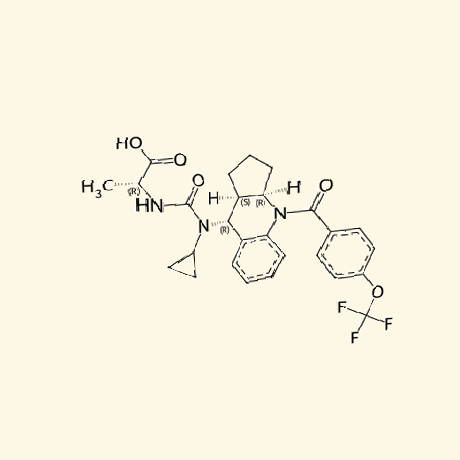 C[C@@H](NC(=O)N(C1CC1)[C@H]1c2ccccc2N(C(=O)c2ccc(OC(F)(F)F)cc2)[C@@H]2CCC[C@@H]21)C(=O)O